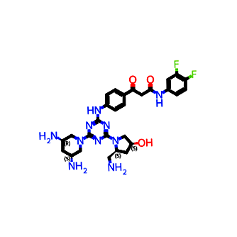 NC[C@@H]1C[C@H](O)CN1c1nc(Nc2ccc(C(=O)CC(=O)Nc3ccc(F)c(F)c3)cc2)nc(N2C[C@H](N)C[C@H](N)C2)n1